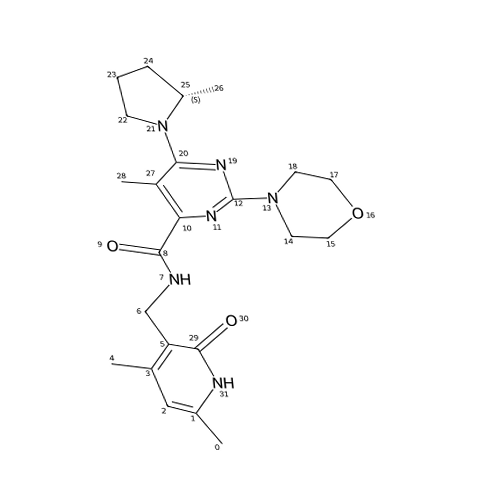 Cc1cc(C)c(CNC(=O)c2nc(N3CCOCC3)nc(N3CCC[C@@H]3C)c2C)c(=O)[nH]1